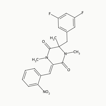 CN1C(=O)C(C)(Cc2cc(F)cc(F)c2)N(C)C(=O)C1=Cc1ccccc1[N+](=O)[O-]